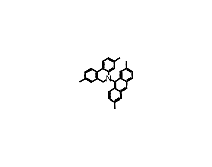 Cc1ccc2c(c1)CN(c1c3ccc(C)cc3cc3ccc(C)cc13)c1cc(C)ccc1-2